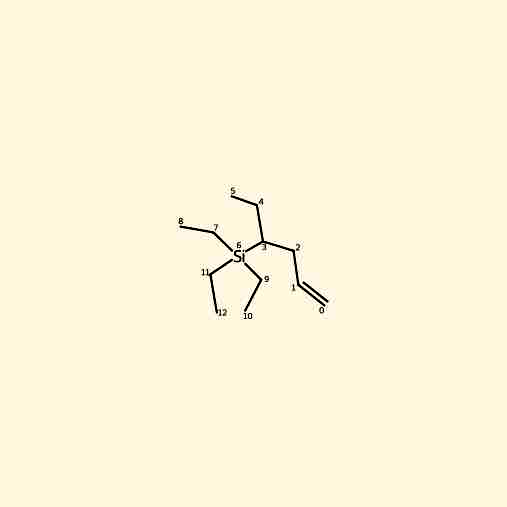 C=CCC(CC)[Si](CC)(CC)CC